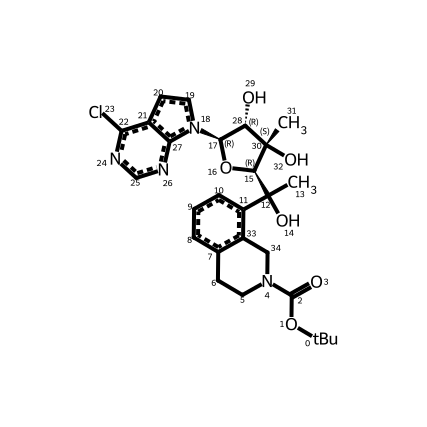 CC(C)(C)OC(=O)N1CCc2cccc(C(C)(O)[C@H]3O[C@@H](n4ccc5c(Cl)ncnc54)[C@H](O)[C@]3(C)O)c2C1